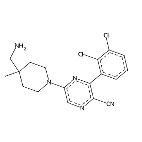 CC1(CN)CCN(c2cnc(C#N)c(-c3cccc(Cl)c3Cl)n2)CC1